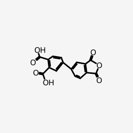 O=C(O)c1ccc(-c2ccc3c(c2)C(=O)OC3=O)cc1C(=O)O